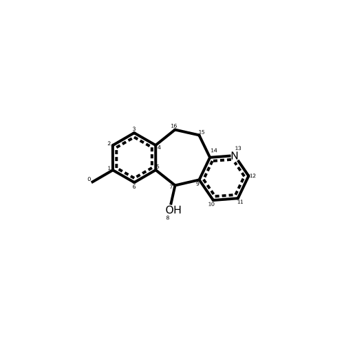 Cc1ccc2c(c1)C(O)c1cccnc1CC2